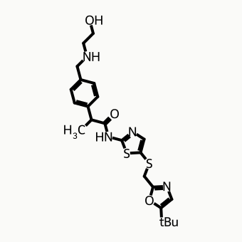 CC(C(=O)Nc1ncc(SCc2ncc(C(C)(C)C)o2)s1)c1ccc(CNCCO)cc1